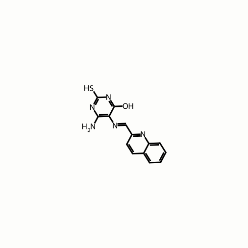 Nc1nc(S)nc(O)c1/N=C/c1ccc2ccccc2n1